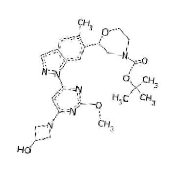 COc1nc(N2CC(O)C2)cc(-n2ncc3cc(C)c(C4CN(C(=O)OC(C)(C)C)CCO4)cc32)n1